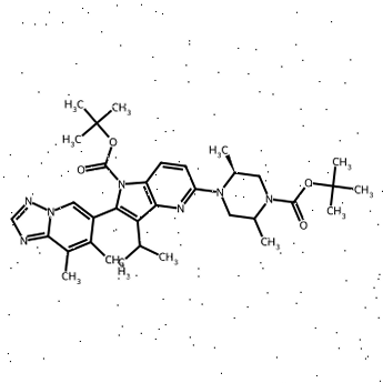 Cc1c(-c2c(C(C)C)c3nc(N4CC(C)N(C(=O)OC(C)(C)C)C[C@@H]4C)ccc3n2C(=O)OC(C)(C)C)cn2ncnc2c1C